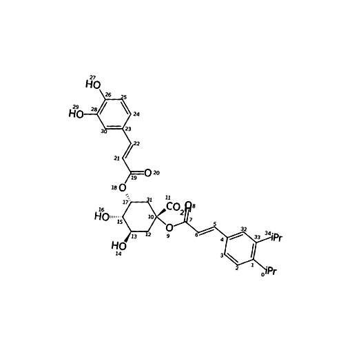 CC(C)c1ccc(/C=C/C(=O)O[C@]2(C(=O)O)C[C@@H](O)[C@H](O)[C@H](OC(=O)/C=C/c3ccc(O)c(O)c3)C2)cc1C(C)C